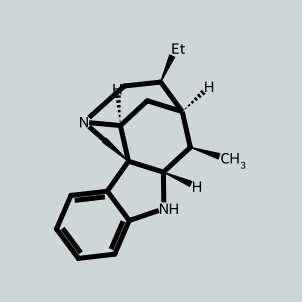 CC[C@@H]1CN2CC[C@]34c5ccccc5N[C@H]3[C@H](C)[C@H]1C[C@H]24